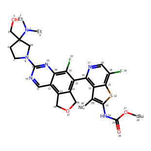 CCN(CC)C1(CO)CCN(c2ncc3c4c(c(-c5ncc(F)c6sc(NC(=O)OC(C)(C)C)c(C#N)c56)c(F)c3n2)COC4)C1